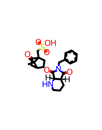 CC1(C)C2CCC1(CS(=O)(=O)O)C(=O)C2.O=C1[C@H]2NCCC[C@H]2C(=O)N1Cc1ccccc1